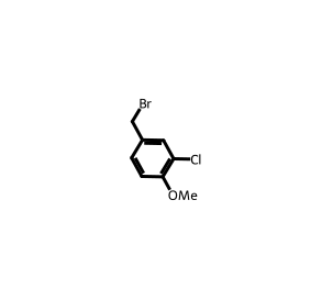 COc1ccc(CBr)cc1Cl